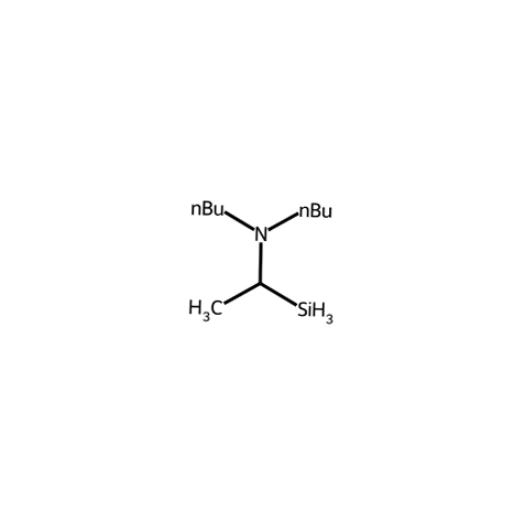 CCCCN(CCCC)C(C)[SiH3]